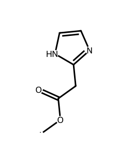 [CH2]OC(=O)Cc1ncc[nH]1